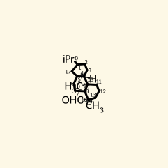 CC(C)C1CC[C@H]2C(CCC3[C@]2(C)CCC[C@@]3(C)C=O)C1